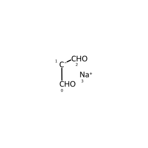 O=C[CH-]C=O.[Na+]